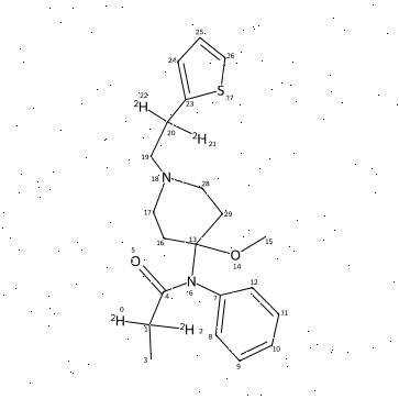 [2H]C([2H])(C)C(=O)N(c1ccccc1)C1(OC)CCN(CC([2H])([2H])c2cccs2)CC1